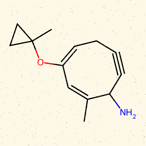 C/C1=C/C(OC2(C)CC2)=C\CC#CC1N